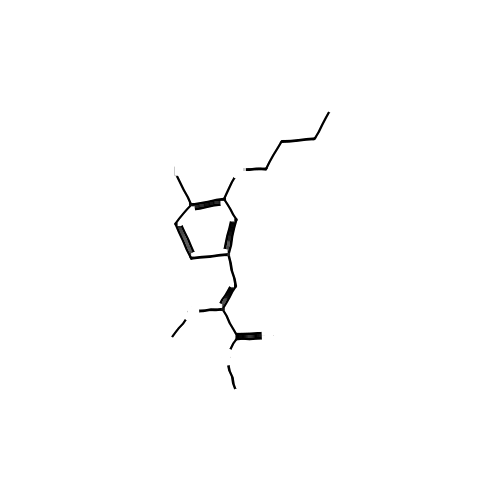 CCCCOc1cc(C=C(OC)C(=O)OC)ccc1I